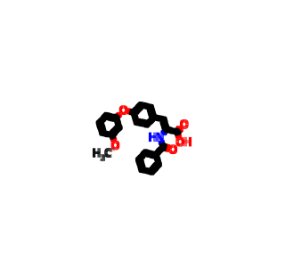 COc1cccc(Oc2ccc(C=C(NC(=O)c3ccccc3)C(=O)O)cc2)c1